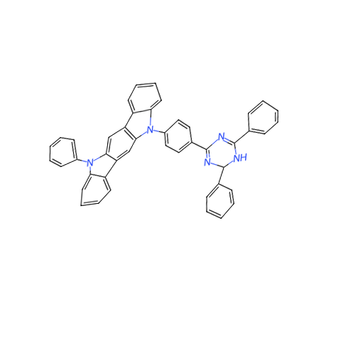 c1ccc(C2=NC(c3ccc(-n4c5ccccc5c5cc6c(cc54)c4ccccc4n6-c4ccccc4)cc3)=NC(c3ccccc3)N2)cc1